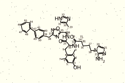 Cc1cc(O)cc(C)c1C[C@H](NC(=O)[C@H](C)CCCn1ccnc1N)C(=O)N[C@@H](Cc1c[nH]cn1)c1nc(Cc2ccc(-c3ccccc3)cc2)no1